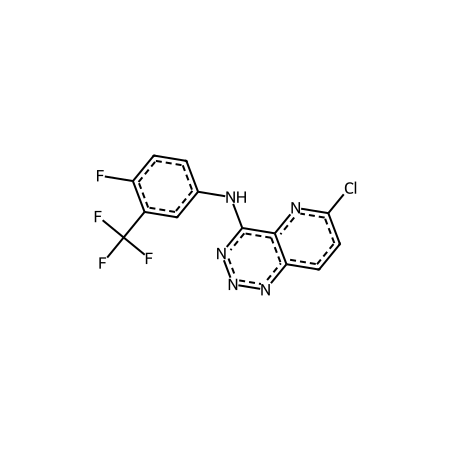 Fc1ccc(Nc2nnnc3ccc(Cl)nc23)cc1C(F)(F)F